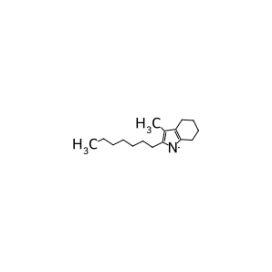 CCCCCCCC1=C(C)C2=C(CCCC2)[N]1